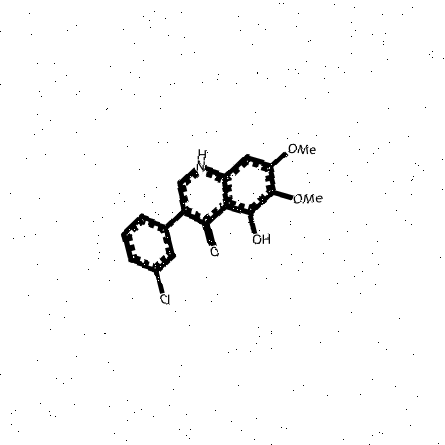 COc1cc2[nH]cc(-c3cccc(Cl)c3)c(=O)c2c(O)c1OC